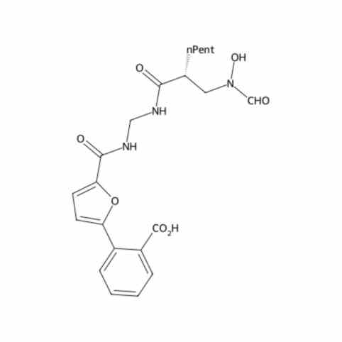 CCCCC[C@H](CN(O)C=O)C(=O)NCNC(=O)c1ccc(-c2ccccc2C(=O)O)o1